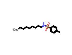 CCCCCCCCCCCCCCCCCCNS(=O)(=O)c1ccc(C)cc1